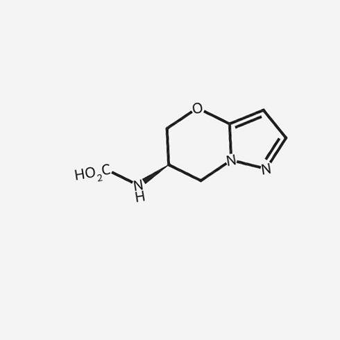 O=C(O)N[C@H]1COc2ccnn2C1